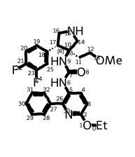 CCOc1ccc(NC(=O)N[C@]2(CCOC)CNC[C@H]2c2ccc(F)c(F)c2)c(-c2ccccc2)n1